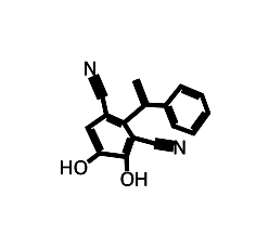 C=C(c1ccccc1)c1c(C#N)cc(O)c(O)c1C#N